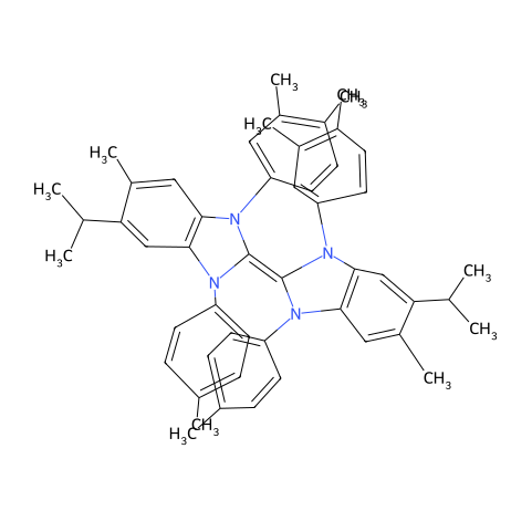 Cc1ccc(N2/C(=C3/N(c4ccc(C)c(C)c4)c4cc(C)c(C(C)C)cc4N3c3ccc(C)cc3)N(c3ccc(C)c(C)c3)c3cc(C(C)C)c(C)cc32)cc1